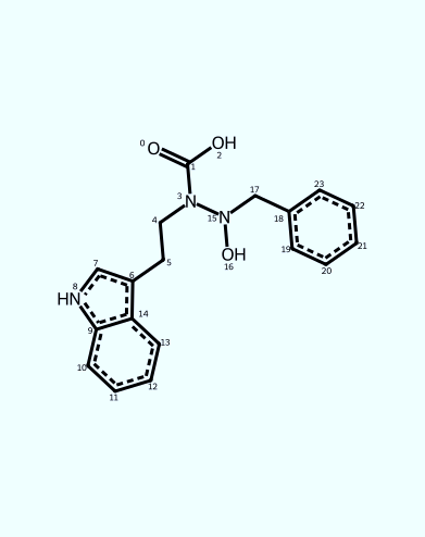 O=C(O)N(CCc1c[nH]c2ccccc12)N(O)Cc1ccccc1